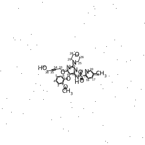 COc1ccccc1Oc1c(NS(=O)(=O)c2ccc(C)cn2)nc(N2CCOCC2)nc1OCC#CCO